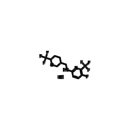 Cl.Fc1ccc(NCC2CCC(C(F)(F)F)OC2)nc1C(F)(F)F